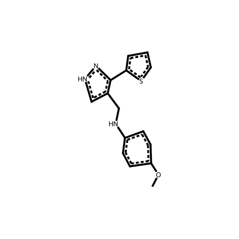 COc1ccc(NCc2c[nH]nc2-c2cccs2)cc1